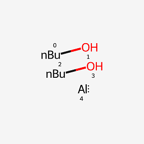 CCCCO.CCCCO.[Al]